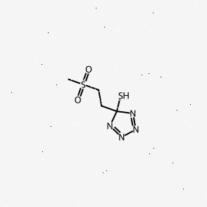 CS(=O)(=O)CCC1(S)N=NN=N1